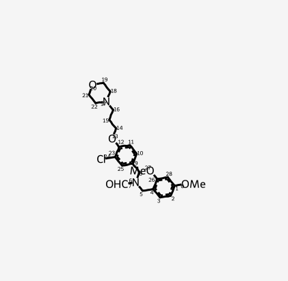 COc1ccc(CN(C=O)Cc2ccc(OCCCN3CCOCC3)c(Cl)c2)c(OC)c1